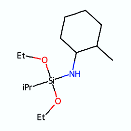 CCO[Si](NC1CCCCC1C)(OCC)C(C)C